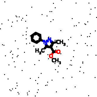 COC(=O)c1c(C)nn(-c2ccccc2)c1C